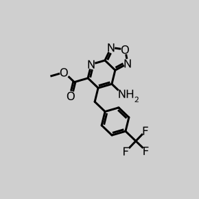 COC(=O)c1nc2nonc2c(N)c1Cc1ccc(C(F)(F)F)cc1